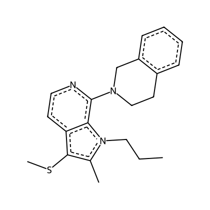 CCCn1c(C)c(SC)c2ccnc(N3CCc4ccccc4C3)c21